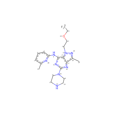 Cc1cccc(Nc2nc(N3CCNCC3)nc3c(C)nn(CCOCC(F)(F)F)c23)n1